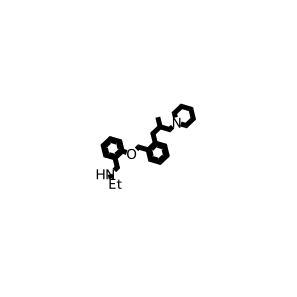 CCNCc1ccccc1OCc1ccccc1CC(C)CN1CCCCC1